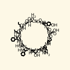 CCCC[C@H]1C(=O)N(C)[C@@H](CCCC)C(=O)N[C@@H](C)C(=O)N[C@H](C(N)=O)CSCC(=O)N[C@H]2Cc3ccc(O)cc3N(C2=O)[C@@H](C)C(=O)N[C@@H](CCC(=O)O)C(=O)N2CCC[C@H]2C(=O)N[C@@H](Cc2cnc[nH]2)C(=O)N[C@@H](CCN)C(=O)N2C[C@H](O)C[C@H]2C(=O)N[C@@H](Cc2c[nH]c3ccccc23)C(=O)N[C@@H](CO)C(=O)N[C@@H](Cc2c[nH]c3ccccc23)C(=O)N1C